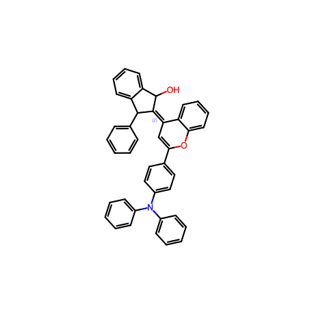 OC1/C(=C2/C=C(c3ccc(N(c4ccccc4)c4ccccc4)cc3)Oc3ccccc32)C(c2ccccc2)c2ccccc21